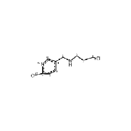 ClCCCNCc1ccc(Cl)nc1